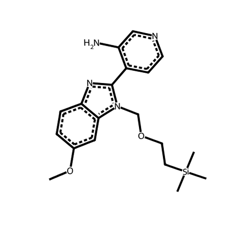 COc1ccc2nc(-c3ccncc3N)n(COCC[Si](C)(C)C)c2c1